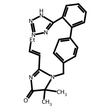 CCC=CC1=NC(=O)C(C)(C)N1Cc1ccc(-c2ccccc2-c2nnn[nH]2)cc1